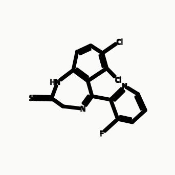 Fc1cccnc1C1=NCC(=S)Nc2ccc(Cl)c(Cl)c21